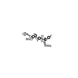 COCCOc1cn(-c2ccc(F)cc2)nc1C(=O)Nc1ccc(Oc2ccnc3cc(OCCCN4CCOCC4)c(OC)cc23)c(F)c1